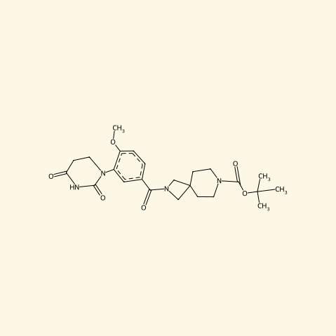 COc1ccc(C(=O)N2CC3(CCN(C(=O)OC(C)(C)C)CC3)C2)cc1N1CCC(=O)NC1=O